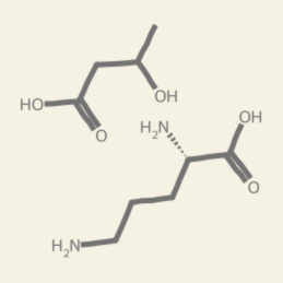 CC(O)CC(=O)O.NCCC[C@H](N)C(=O)O